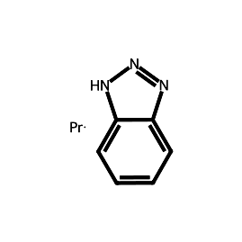 [Pr].c1ccc2[nH]nnc2c1